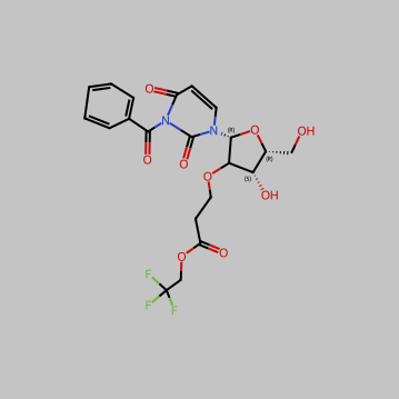 O=C(CCOC1[C@@H](O)[C@@H](CO)O[C@H]1n1ccc(=O)n(C(=O)c2ccccc2)c1=O)OCC(F)(F)F